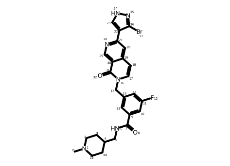 CN1CCC(CNC(=O)c2cc(F)cc(Cn3ccc4cc(-c5c[nH]nc5Br)ncc4c3=O)c2)CC1